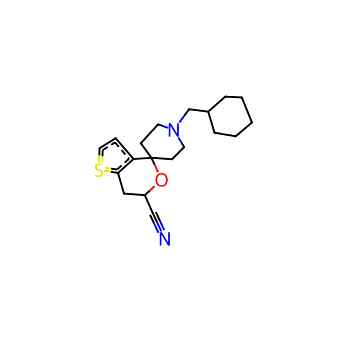 N#CC1Cc2sccc2C2(CCN(CC3CCCCC3)CC2)O1